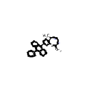 C=C1/C=C\C=C/C(C)c2ccc(-c3c4ccccc4c(-c4ccccc4)c4ccccc34)cc2O1